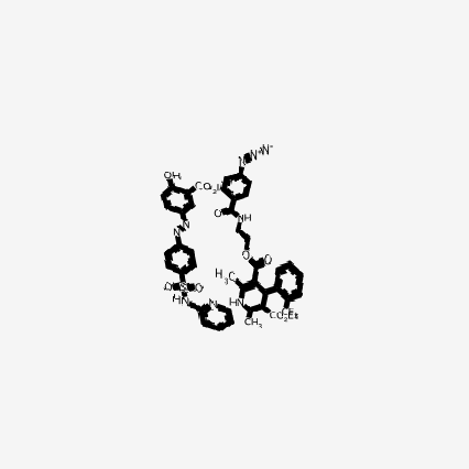 CCOC(=O)C1=C(C)NC(C)=C(C(=O)OCCNC(=O)c2ccc(N=[N+]=[N-])cc2)C1c1ccccc1C(F)(F)F.O=C(O)c1cc(/N=N/c2ccc(S(=O)(=O)Nc3ccccn3)cc2)ccc1O